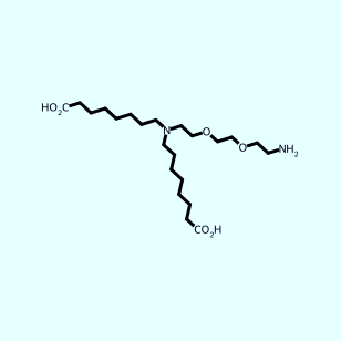 NCCOCCOCCN(CCCCCCCC(=O)O)CCCCCCCC(=O)O